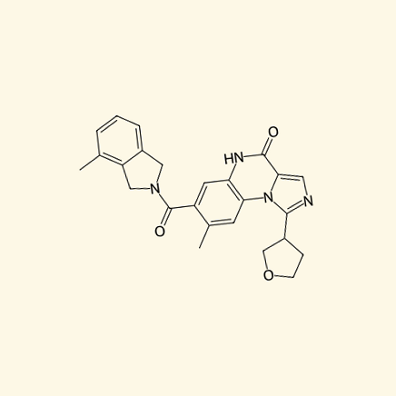 Cc1cc2c(cc1C(=O)N1Cc3cccc(C)c3C1)[nH]c(=O)c1cnc(C3CCOC3)n12